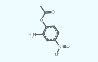 CC(=O)Oc1ccc([N+](=O)[O-])cc1N